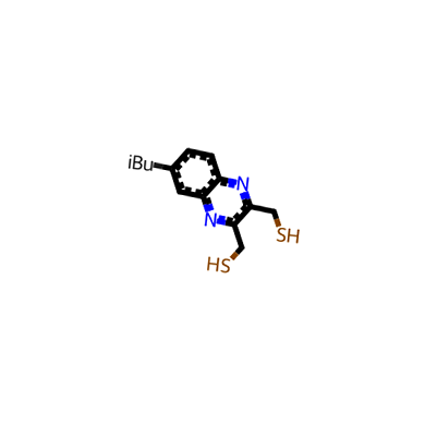 CCC(C)c1ccc2nc(CS)c(CS)nc2c1